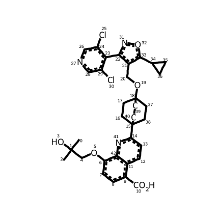 CC(C)(O)COc1ccc(C(=O)O)c2ccc(C34CCC(OCc5c(-c6c(Cl)cncc6Cl)noc5C5CC5)(CC3)CC4)nc12